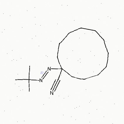 CC(C)(C)/N=N/C1(C#N)CCCCCCCCCCC1